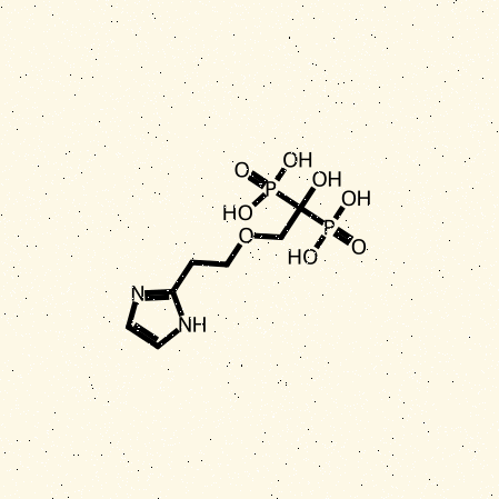 O=P(O)(O)C(O)(COCCc1ncc[nH]1)P(=O)(O)O